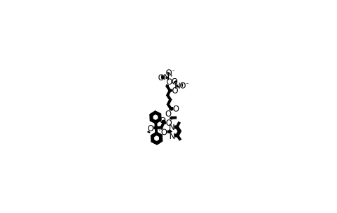 COC(c1ccccc1)(c1ccccc1)[C@H](Oc1nc(C)cc(C)n1)C(=O)OC(C)OC(=O)CCCC(CO[N+](=O)[O-])O[N+](=O)[O-]